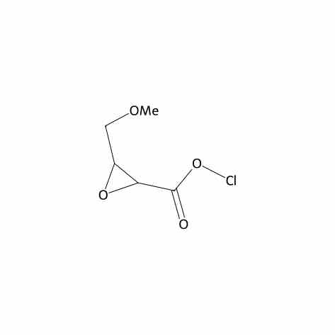 COCC1OC1C(=O)OCl